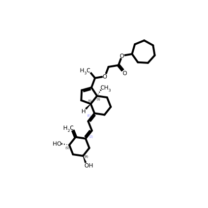 C=C1/C(=C\C=C2/CCC[C@]3(C)C(C(C)OCC(=O)OC4CCCCCC4)=CC[C@@H]23)C[C@@H](O)C[C@@H]1O